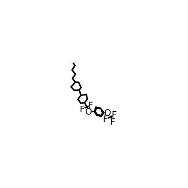 CCCCCC1CCC(C2CCC(C(F)(F)Oc3ccc(OC(F)(F)F)cc3)CC2)CC1